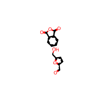 O=C1OC(=O)c2ccccc21.O=Cc1ccc(CO)o1